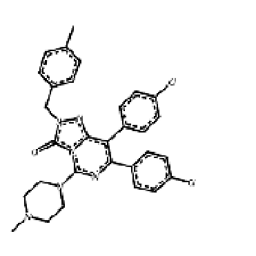 Cc1ccc(Cn2nc3c(-c4ccc(Cl)cc4)c(-c4ccc(Cl)cc4)nc(N4CCN(C)CC4)n3c2=O)cc1